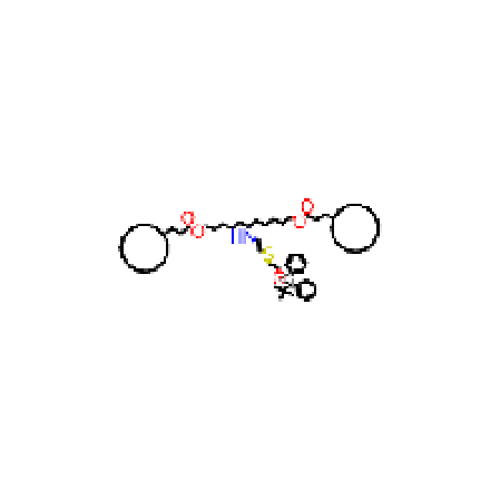 CC(C)(C)[Si](OCCSCCNC(CCCCCOC(=O)CCC1CCCCCCCCCCCCCC1)CCCCCOC(=O)CCC1CCCCCCCCCCCCCC1)(c1ccccc1)c1ccccc1